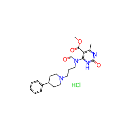 COC(=O)c1c(C)nc(=O)[nH]c1N(C=O)CCCN1CCC(c2ccccc2)CC1.Cl